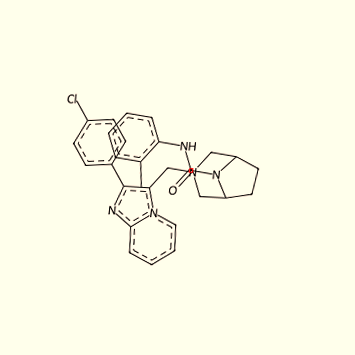 Cc1ccccc1NC(=O)N1C2CCC1CN(Cc1c(-c3ccc(Cl)cc3)nc3ccccn13)C2